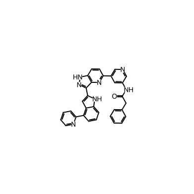 O=C(Cc1ccccc1)Nc1cncc(-c2ccc3[nH]nc(-c4cc5c(-c6ccccn6)cccc5[nH]4)c3n2)c1